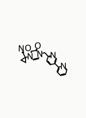 N#CC1(n2ccn(Cc3ccc(-c4ccccn4)cn3)c(=O)c2=O)CC1